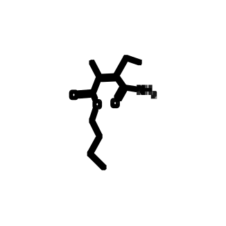 CCCCOC(=O)C(C)=C(CC)C(N)=O